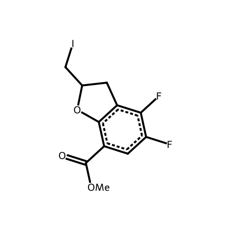 COC(=O)c1cc(F)c(F)c2c1OC(CI)C2